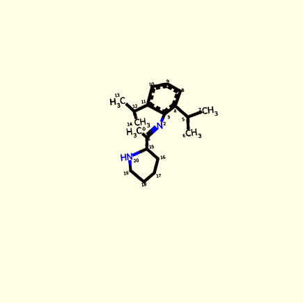 CC(=Nc1c(C(C)C)cccc1C(C)C)C1CCCCN1